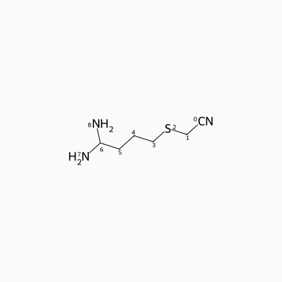 N#CCSCCCC(N)N